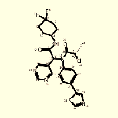 O=C(NC1CCC(F)(F)CC1)[C@H](c1cncnc1)N(C(=O)[C@H](F)Cl)c1ccc(-c2cncs2)cc1